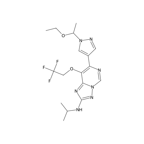 CCOC(C)n1cc(-c2ncn3nc(NC(C)C)nc3c2OCC(F)(F)F)cn1